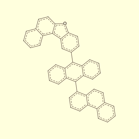 c1ccc2c(c1)ccc1c(-c3c4ccccc4c(-c4ccc5oc6ccc7ccccc7c6c5c4)c4ccccc34)cccc12